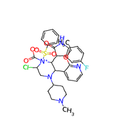 CCOc1ncccc1C1C(C2C(=O)Nc3ccc(F)cc32)[N+](C(=O)[O-])(S(=O)(=O)c2ccccc2)C(Cl)CN1C1CCN(C)CC1